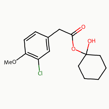 COc1ccc(CC(=O)OC2(O)CCCCC2)cc1Cl